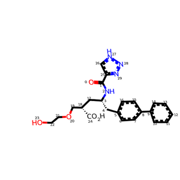 O=C(N[C@H](Cc1ccc(-c2ccccc2)cc1)C[C@@H](COCCO)C(=O)O)c1c[nH]nn1